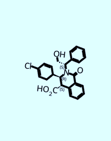 O=C(O)[C@H]1c2ccccc2C(=O)N([C@H](CO)c2ccccc2)[C@@H]1C1C=CC(Cl)=CC1